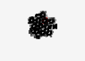 N#Cc1c(-c2ccccc2)c(-c2ccccc2)c(-c2cc(-c3c(-c4ccccc4)c(-c4ccccc4)c(C#N)c(-c4ccccc4)c3-c3ccccc3)nc(-n3c4ccccc4c4ccccc43)c2)c(-c2ccccc2)c1-c1ccccc1